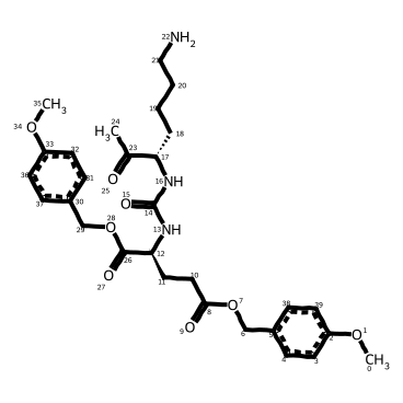 COc1ccc(COC(=O)CC[C@H](NC(=O)N[C@@H](CCCCN)C(C)=O)C(=O)OCc2ccc(OC)cc2)cc1